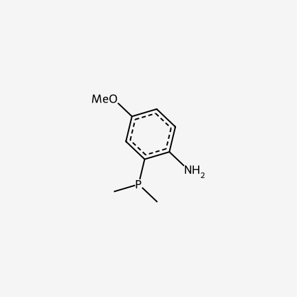 COc1ccc(N)c(P(C)C)c1